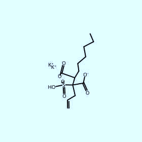 C=CCC(C(=O)[O-])(C(CCCCCC)C(=O)[O-])S(=O)(=O)O.[K+].[K+]